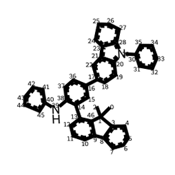 CC1(C)c2ccccc2-c2cccc(-c3cc(-c4ccc5c(c4)c4ccccc4n5-c4ccccc4)ccc3Nc3ccccc3)c21